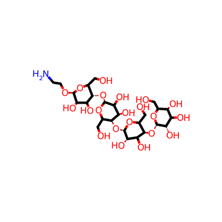 NCCO[C@H]1OC(CO)[C@H](O[C@H]2OC(CO)[C@@H](O[C@@H]3OC(CO)[C@@H](O[C@@H]4OC(CO)[C@@H](O)C(O)[C@@H]4O)C(O)[C@@H]3O)[C@H](O)C2O)C(O)C1O